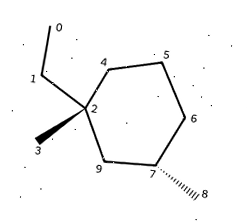 CC[C@]1(C)CCC[C@H](C)C1